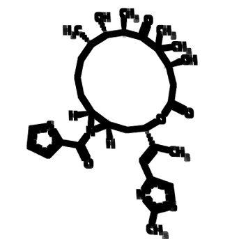 CC(=Cc1csc(C)n1)[C@@H]1C[C@H]2[C@@H](CCC[C@H](C)[C@H](O)[C@@H](C)C(=O)C(C)(C)[C@@H](O)CC(=O)O1)N2C(=O)c1cccs1